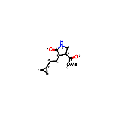 COC(=O)C1CNC(=O)C1CCC1CC1